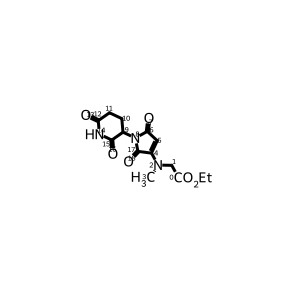 CCOC(=O)CN(C)C1=CC(=O)N(C2CCC(=O)NC2=O)C1=O